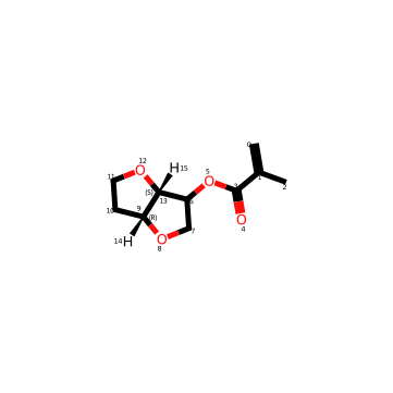 C=C(C)C(=O)OC1CO[C@@H]2CCO[C@H]12